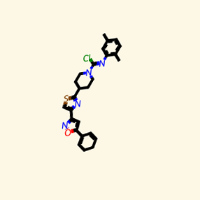 Cc1ccc(C)c(N=C(Cl)N2CCC(c3nc(-c4cc(C5=CCCC=C5)on4)cs3)CC2)c1